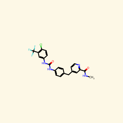 CNC(=O)c1cc(Cc2ccc(NC(=O)Nc3ccc(Cl)c(C(F)(F)F)c3)cc2)ccn1